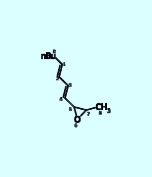 CCCCC=CC=CC1OC1C